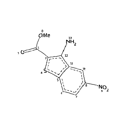 COC(=O)c1sc2ccc([N+](=O)[O-])cc2c1N